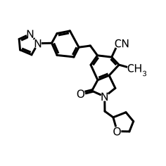 Cc1c(C#N)c(Cc2ccc(-n3cccn3)cc2)cc2c1CN(CC1CCCO1)C2=O